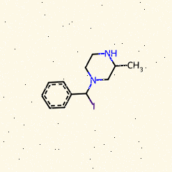 CC1CN(C(I)c2ccccc2)CCN1